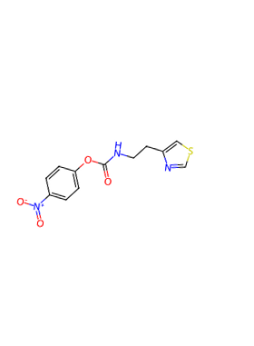 O=C(NCCc1cscn1)Oc1ccc([N+](=O)[O-])cc1